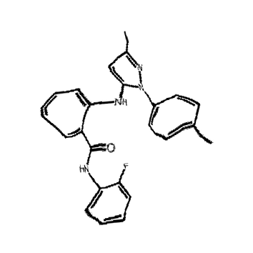 Cc1ccc(-n2nc(C)cc2Nc2ccccc2C(=O)Nc2ccccc2F)cc1